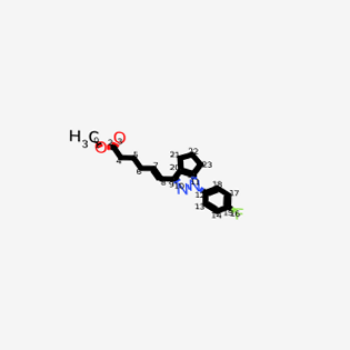 COC(=O)CCCC=Cc1nn(-c2ccc(F)cc2)c2c1CCC2